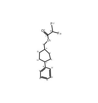 O=C(OCC1CCC(c2ccccc2)CC1)C(F)F